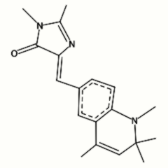 CC1=CC(C)(C)N(C)c2ccc(/C=C3\N=C(C)N(C)C3=O)cc21